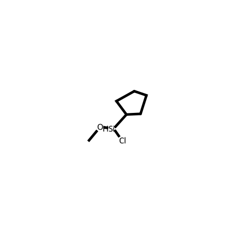 CO[SiH](Cl)C1CCCC1